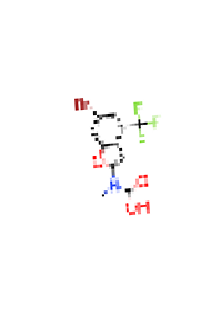 CN(C(=O)O)c1cc2c(C(F)(F)F)cc(Br)cc2o1